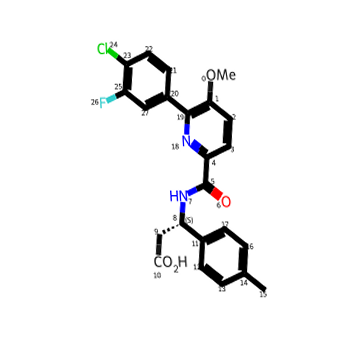 COc1ccc(C(=O)N[C@@H](CC(=O)O)c2ccc(C)cc2)nc1-c1ccc(Cl)c(F)c1